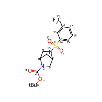 CC(C)(C)OC(=O)N1CC2CC1CN2S(=O)(=O)c1cccc(C(F)(F)F)c1